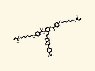 C=CC(=O)OCCCCCCOc1ccc(C(=O)Oc2ccc(OC(=O)c3ccc(OCCCCCCOC(=O)C=C)cc3)c(/C=C/c3nn4cc(-c5ccc(NC)cc5)nc4s3)c2)cc1